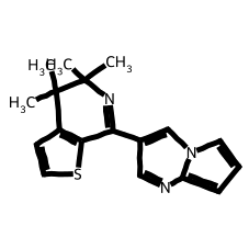 CC1(C)N=C(c2cnc3cccn3c2)c2sccc2C1(C)C